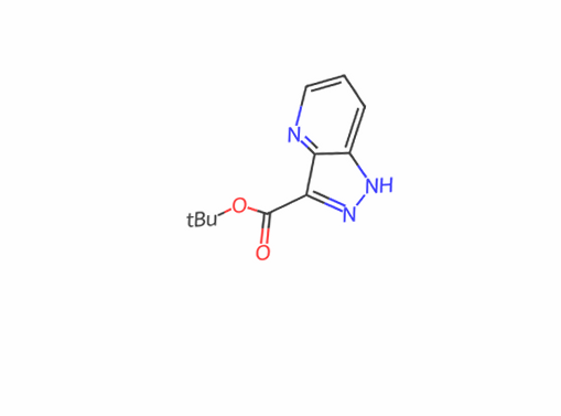 CC(C)(C)OC(=O)c1n[nH]c2cccnc12